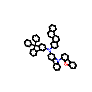 c1ccc(C2(c3ccccc3)c3ccccc3-c3cc(N(c4ccc5ccc6c7ccccc7ccc6c5c4)c4ccc5c6ccccc6n(-c6cccc7c6oc6ccccc67)c5c4)ccc32)cc1